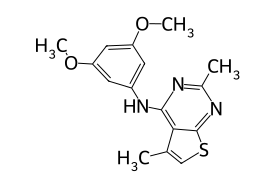 COc1cc(Nc2nc(C)nc3scc(C)c23)cc(OC)c1